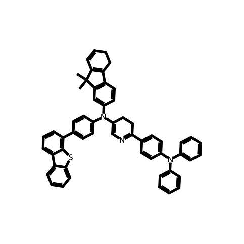 CC1(C)C2=C(CCC=C2)c2ccc(N(C3=CN=C(c4ccc(N(c5ccccc5)c5ccccc5)cc4)CC3)c3ccc(-c4cccc5c4sc4ccccc45)cc3)cc21